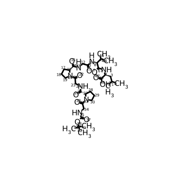 CC(C)C[C@H](NC(=O)[C@@H](NC(=O)CNC(=O)[C@@H]1CCCN1C(=O)CNC(=O)[C@@H]1CCCN1C(=O)CNC(=O)OC(C)(C)C)C(C)C)C(=O)O